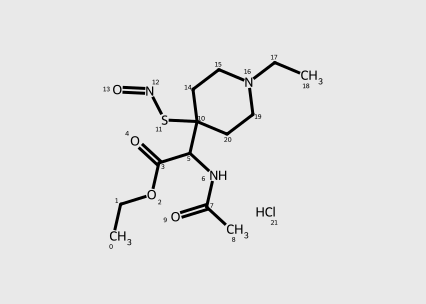 CCOC(=O)C(NC(C)=O)C1(SN=O)CCN(CC)CC1.Cl